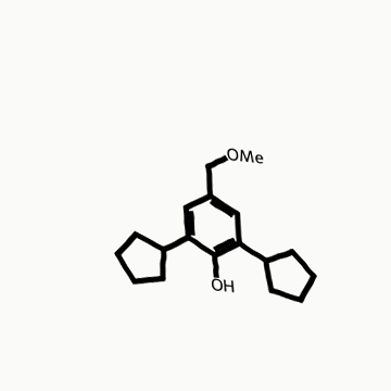 COCc1cc(C2CCCC2)c(O)c(C2CCCC2)c1